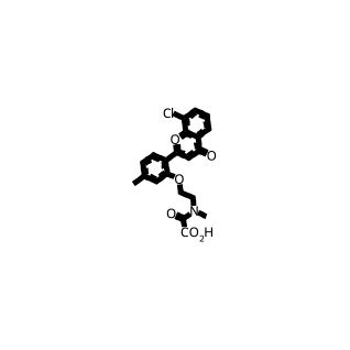 Cc1ccc(-c2cc(=O)c3cccc(Cl)c3o2)c(OCCN(C)C(=O)C(=O)O)c1